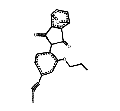 CC#Cc1ccc(C2C(=O)c3c(c4ccc3o4)C2=O)c(OCCC)c1